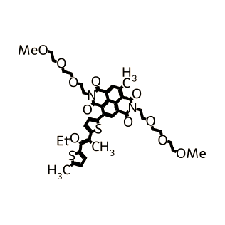 CCO/C(=C(/C)c1ccc(-c2cc3c4c(c(C)cc5c4c2C(=O)N(CCOCCOCCOC)C5=O)C(=O)N(CCOCCOCCOC)C3=O)s1)c1ccc(C)s1